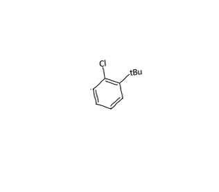 CC(C)(C)c1ccc[c]c1Cl